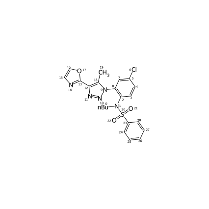 CCCCN(c1ccc(Cl)cc1-n1nnc(-c2ncco2)c1C)S(=O)(=O)c1ccccc1